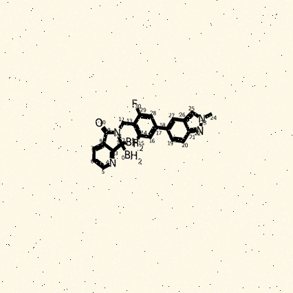 BC1(B)c2ncccc2C(=O)N1Cc1c(F)cc(-c2ccc3nn(C)cc3c2)cc1F